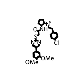 COc1ccc(-c2cnc(SCC(=O)NC3CCC[C@H]3N(C)CCc3ccc(Cl)cc3)nc2)cc1OC